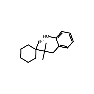 CCCC1(C(C)(C)Cc2ccccc2O)CCCCC1